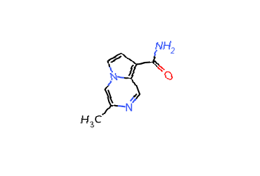 Cc1cn2ccc(C(N)=O)c2cn1